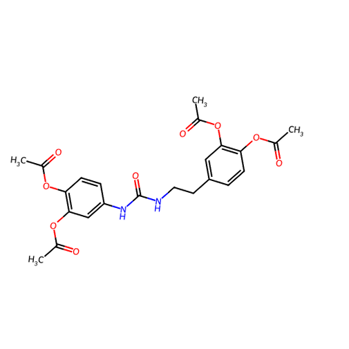 CC(=O)Oc1ccc(CCNC(=O)Nc2ccc(OC(C)=O)c(OC(C)=O)c2)cc1OC(C)=O